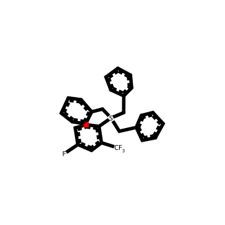 Fc1ccc(S(Cc2ccccc2)(Cc2ccccc2)Cc2ccccc2)c(C(F)(F)F)c1